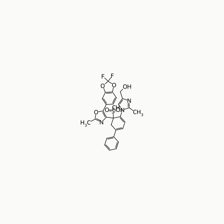 Cc1nc(C2(S(C)(=O)=O)CC(c3ccccc3)=CC=C2n2cc(CO)nc2C)c(-c2ccc3c(c2)OC(F)(F)O3)o1